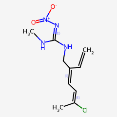 C=C/C(=C\C=C(/C)Cl)CN/C(=N/[N+](=O)[O-])NC